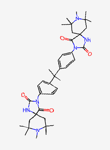 CN1C(C)(C)CC2(CC1(C)C)NC(=O)N(c1ccc(C(C)(C)c3ccc(N4C(=O)NC5(CC(C)(C)N(C)C(C)(C)C5)C4=O)cc3)cc1)C2=O